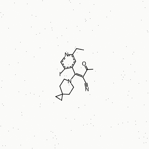 CCc1cc(/C(=C(/C#N)C(C)=O)N2CCC3(CC2)CC3)c(I)cn1